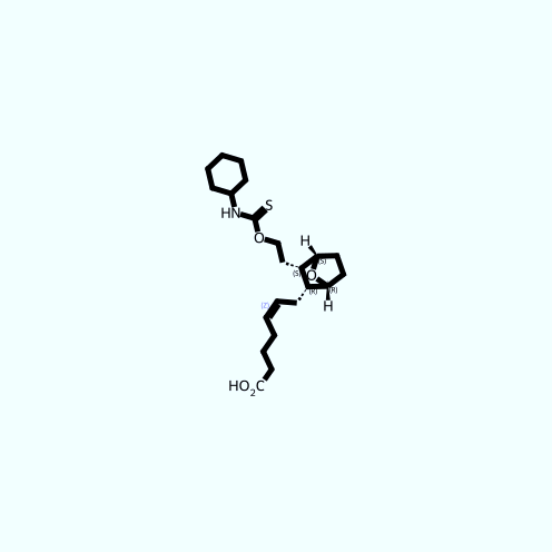 O=C(O)CCC/C=C\C[C@@H]1[C@H](CCOC(=S)NC2CCCCC2)[C@@H]2CC[C@H]1O2